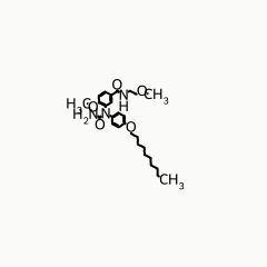 CCCCCCCCCCOc1ccc(N(C(N)=O)c2cc(C(=O)NCCOC)ccc2OC)cc1